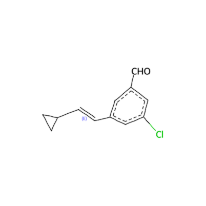 O=Cc1cc(Cl)cc(/C=C/C2CC2)c1